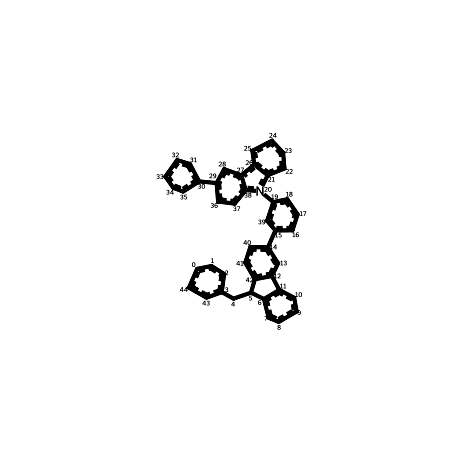 c1ccc(CC2c3ccccc3-c3cc(-c4cccc(-n5c6ccccc6c6cc(-c7ccccc7)ccc65)c4)ccc32)cc1